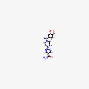 C[C@@H](c1ccc2c(c1)OCO2)N1CCN(c2ncc(C(N)=O)cn2)CC1